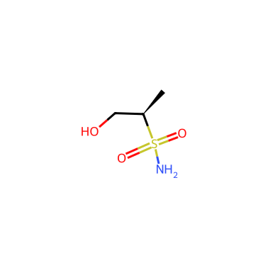 C[C@H](CO)S(N)(=O)=O